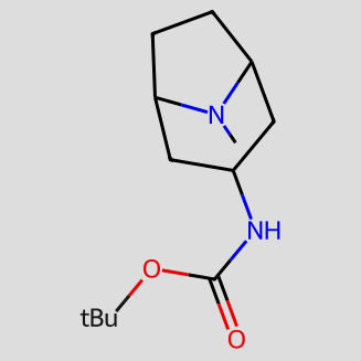 CN1C2CCC1CC(NC(=O)OC(C)(C)C)C2